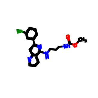 COC(=O)NCCCNc1nc(-c2cccc(Br)c2)cc2ncccc12